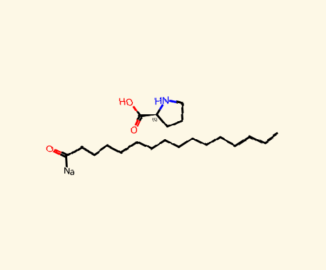 CCCCCCCCCCCCCCC[C](=O)[Na].O=C(O)[C@@H]1CCCN1